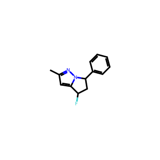 Cc1cc2n(n1)C(c1ccccc1)CC2F